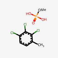 COP(=O)(O)O.Cc1ccc(Cl)c(Cl)c1Cl